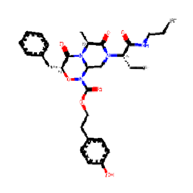 CC(C)CCNC(=O)[C@H](CC(C)C)N1CC2N(C(=O)OCCc3ccc(O)cc3)O[C@H](Cc3ccccc3)C(=O)N2[C@@H](C)C1=O